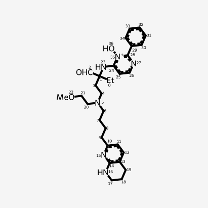 CCC(C=O)(CCN(CCCCc1ccc2c(n1)NCCC2)CCOC)Nc1ccnc(-c2ccccc2)[n+]1O